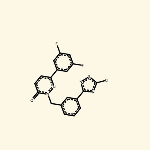 O=c1ccc(-c2cc(F)cc(F)c2)nn1Cc1cccc(-c2nsc(Cl)n2)c1